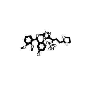 COc1cccc(C(=O)c2cc(Cl)ccc2-n2c(C)nnc2C(CCC2OCCO2)S(=O)(=O)O)c1OC